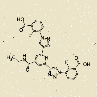 CCNC(=O)c1cc(-c2cn(-c3cccc(C(=O)O)c3F)nn2)nc(-c2cn(-c3cccc(C(=O)O)c3F)nn2)c1